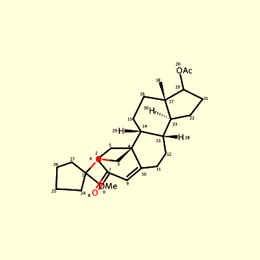 COC1(OC[C@]23CCC(=O)C=C2CC[C@@H]2[C@H]3CC[C@]3(C)C(OC(C)=O)CC[C@@H]23)CCCC1